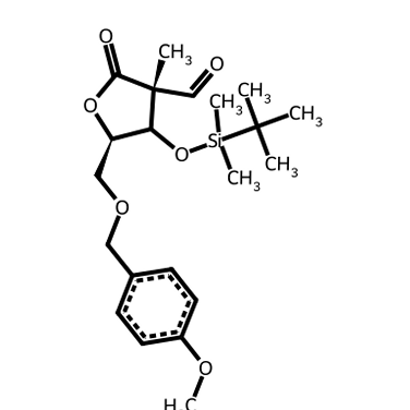 COc1ccc(COC[C@H]2OC(=O)[C@](C)(C=O)C2O[Si](C)(C)C(C)(C)C)cc1